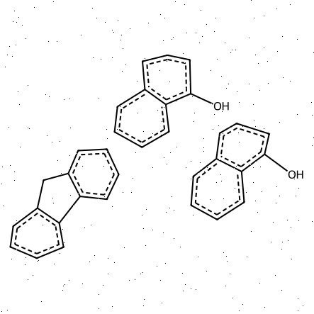 Oc1cccc2ccccc12.Oc1cccc2ccccc12.c1ccc2c(c1)Cc1ccccc1-2